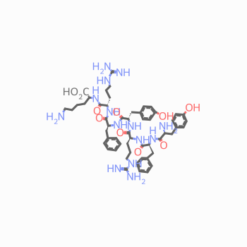 N=C(N)NCCC[C@H](NC(=O)[C@H](Cc1ccccc1)NC(=O)[C@H](Cc1ccc(O)cc1)NC(=O)[C@H](CCCNC(=N)N)NC(=O)[C@H](Cc1ccccc1)NC(=O)[C@@H](N)Cc1ccc(O)cc1)C(=O)N[C@@H](CCCCN)C(=O)O